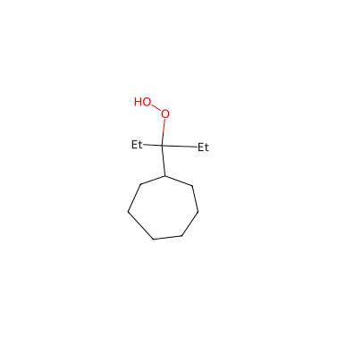 CCC(CC)(OO)C1CCCCCC1